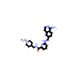 CN1CCC(CNC(=O)c2cccc(NCc3ccc4c(N)nccc4c3)n2)CC1